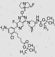 CC(C)(C)OC(=O)CCCCc1c(Cl)cc(N)cc1-c1ncc2c(N3C[C@H](F)C[C@@H](NC(=O)OC(C)(C)C)C3)nc(OC[C@@]34CCCN3C[C@H](F)C4)nc2c1F